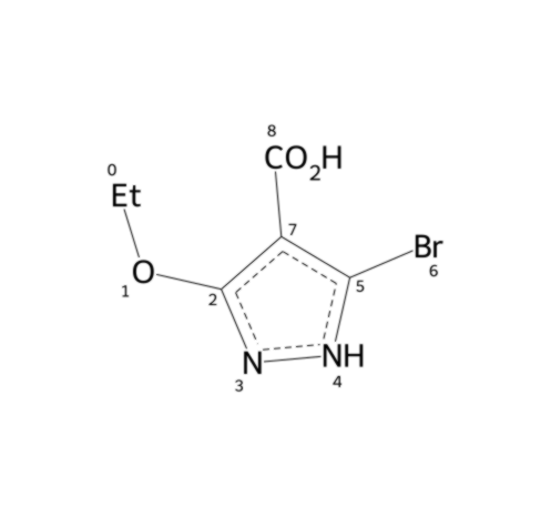 CCOc1n[nH]c(Br)c1C(=O)O